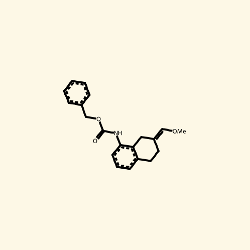 CO/C=C1\CCc2cccc(NC(=O)OCc3ccccc3)c2C1